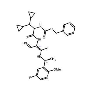 COc1ncc(F)cc1[C@H](C)N/C(F)=C(\C=N)NC(=O)C(NC(=O)OCc1ccccc1)C(C1CC1)C1CC1